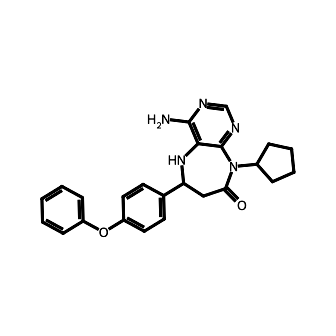 Nc1ncnc2c1NC(c1ccc(Oc3ccccc3)cc1)CC(=O)N2C1CCCC1